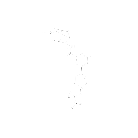 C[C@@H]1CN(CC2(C(N)=O)CC2)CCN1c1cccc(C(=O)N[C@H]2C3CC4CC2C[C@](O)(C4)C3)n1